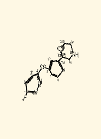 Fc1ccc(Oc2cccc([C@@H]3CNCCO3)c2)nn1